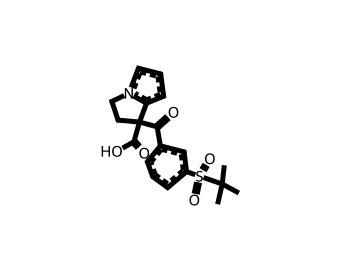 CC(C)(C)S(=O)(=O)c1cccc(C(=O)C2(C(=O)O)CCn3cccc32)c1